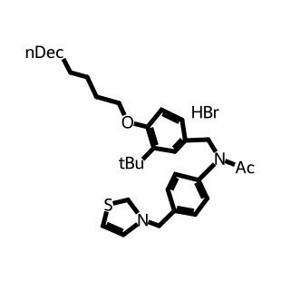 Br.CCCCCCCCCCCCCCOc1ccc(CN(C(C)=O)c2ccc(CN3C=CSC3)cc2)cc1C(C)(C)C